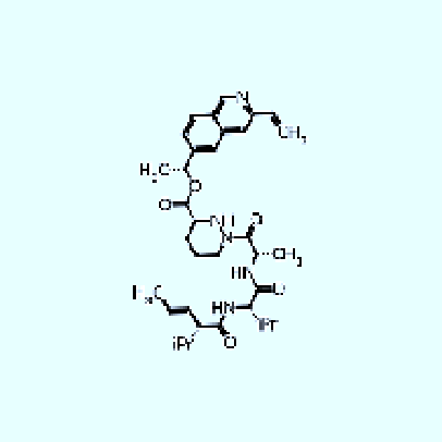 C=Cc1cc2cc([C@@H](C)OC(=O)[C@@H]3CCCN(C(=O)[C@H](C)NC(=O)[C@@H](NC(=O)[C@@H](/C=C/C)C(C)C)C(C)C)N3)ccc2cn1